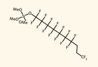 CO[Si](OC)(OC)OC(F)(F)C(F)(F)C(F)(F)C(F)(F)C(F)(F)C(F)(F)C(F)(F)CCC(F)(F)F